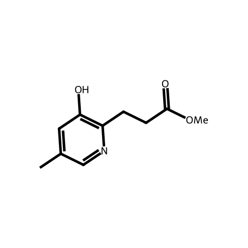 COC(=O)CCc1ncc(C)cc1O